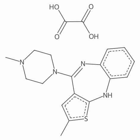 Cc1cc2c(s1)Nc1ccccc1N=C2N1CCN(C)CC1.O=C(O)C(=O)O